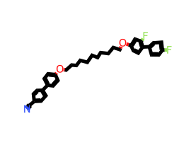 N#Cc1ccc(-c2ccc(OCCCCCCCCCCCOc3ccc(-c4ccc(F)cc4)c(F)c3)cc2)cc1